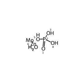 O.O=P(O)(O)O.[Mo].[Zn]